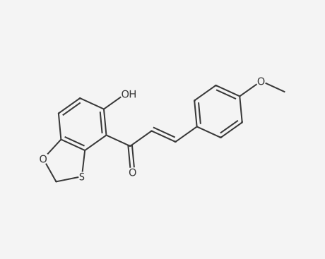 COc1ccc(C=CC(=O)c2c(O)ccc3c2SCO3)cc1